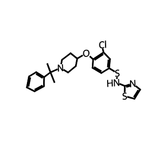 CC(C)(c1ccccc1)N1CCC(Oc2ccc(SNc3nccs3)cc2Cl)CC1